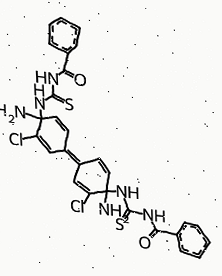 NC1(NC(=S)NC(=O)c2ccccc2)C=C/C(=C2\C=CC(N)(NC(=S)NC(=O)c3ccccc3)C(Cl)=C2)C=C1Cl